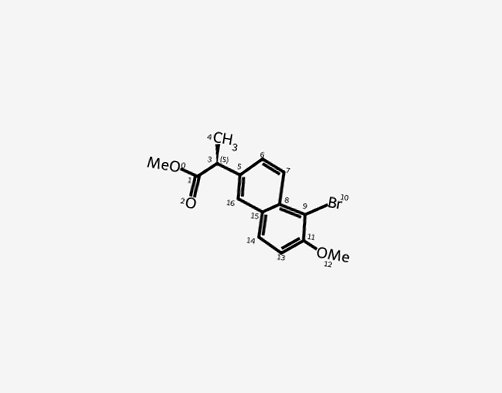 COC(=O)[C@@H](C)c1ccc2c(Br)c(OC)ccc2c1